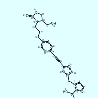 CC(O)c1nccn1Cc1cc(C#Cc2ccc(CCCN3C(=O)OCC3CO)cc2)on1